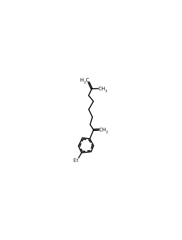 C=C(C)CCCCCC(=C)c1ccc(CC)cc1